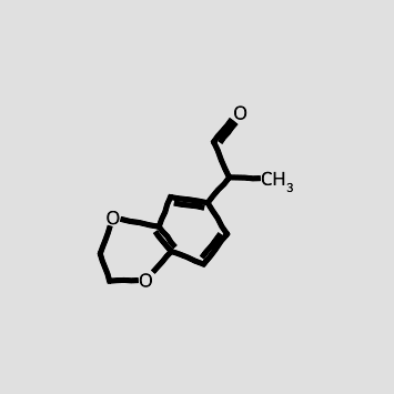 CC(C=O)c1ccc2c(c1)OCCO2